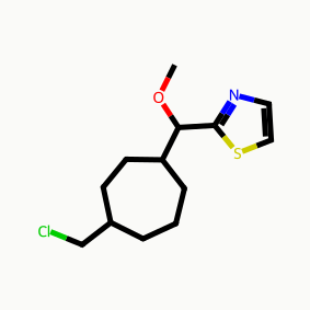 COC(c1nccs1)C1CCCC(CCl)CC1